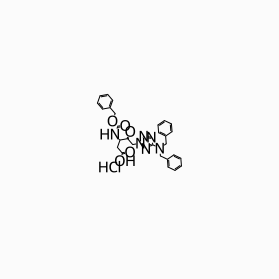 Cl.O=C(O)CC(NC(=O)OCc1ccccc1)C(=O)Cn1nnc(N(Cc2ccccc2)Cc2ccccc2)n1